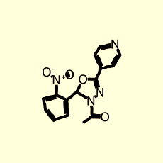 CC(=O)N1N=C(c2ccncc2)OC1c1ccccc1[N+](=O)[O-]